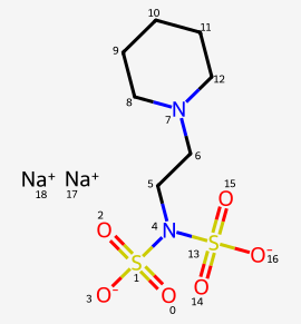 O=S(=O)([O-])N(CCN1CCCCC1)S(=O)(=O)[O-].[Na+].[Na+]